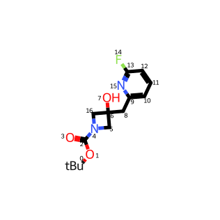 CC(C)(C)OC(=O)N1CC(O)(Cc2cccc(F)n2)C1